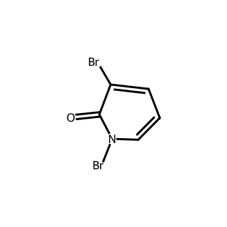 O=c1c(Br)cccn1Br